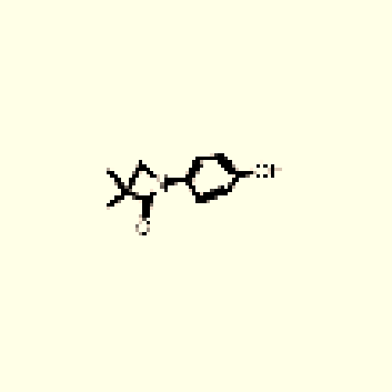 CC1(C)CN(c2ccc(O)cc2)C1=O